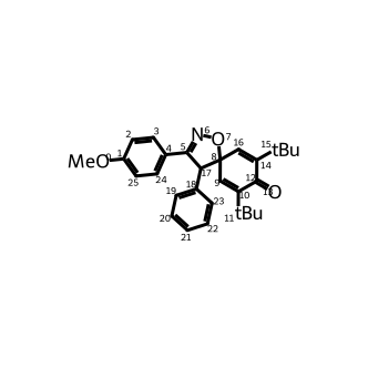 COc1ccc(C2=NOC3(C=C(C(C)(C)C)C(=O)C(C(C)(C)C)=C3)C2c2ccccc2)cc1